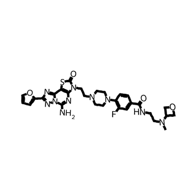 CN(CCNC(=O)c1ccc(N2CCN(CCn3c(=O)sc4c3nc(N)n3nc(-c5ccco5)nc43)CC2)c(F)c1)C1COC1